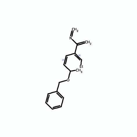 C=NC(=C)C(/C=C\C(C)OCc1ccccc1)=C/CC